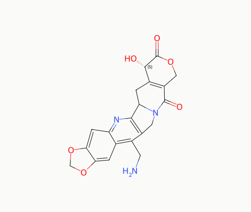 NCc1c2c(nc3cc4c(cc13)OCO4)C1CC3=C(COC(=O)[C@H]3O)C(=O)N1C2